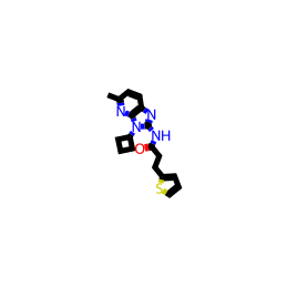 Cc1ccc2nc(NC(=O)CCc3cccs3)n(C3CCC3)c2n1